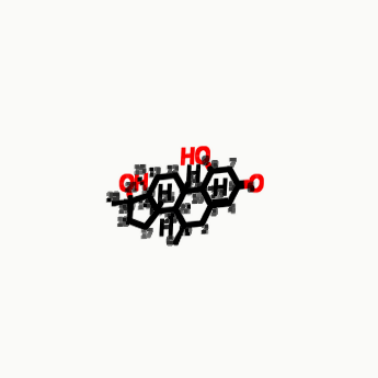 C[C@@H]1CC2=CC(=O)CC(O)[C@@H]2[C@H]2CC[C@@]3(C)[C@@H](CC[C@]3(C)O)[C@@H]21